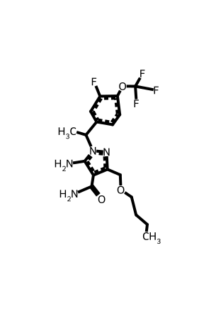 CCCCOCc1nn(C(C)c2ccc(OC(F)(F)F)c(F)c2)c(N)c1C(N)=O